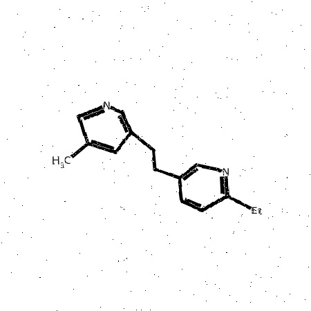 CCc1ccc(CCc2cncc(C)c2)cn1